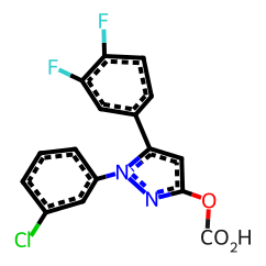 O=C(O)Oc1cc(-c2ccc(F)c(F)c2)n(-c2cccc(Cl)c2)n1